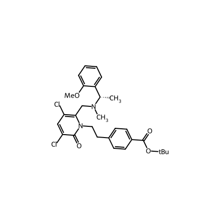 COc1ccccc1[C@H](C)N(C)Cc1c(Cl)cc(Cl)c(=O)n1CCc1ccc(C(=O)OC(C)(C)C)cc1